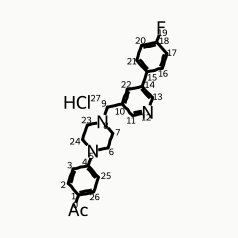 CC(=O)c1ccc(N2CCN(Cc3cncc(-c4ccc(F)cc4)c3)CC2)cc1.Cl